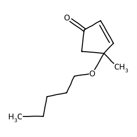 CCCCCOC1(C)C=CC(=O)C1